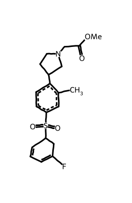 COC(=O)CN1CCC(c2ccc(S(=O)(=O)C3C=CC=C(F)C3)cc2C)C1